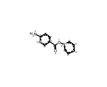 Nc1ccc(C(=O)O[n+]2ccccc2)cn1